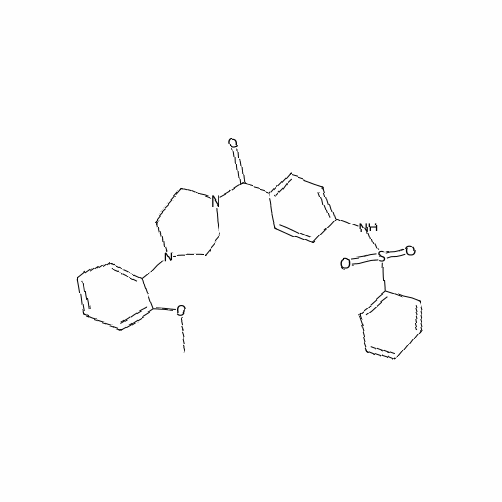 COc1ccccc1N1CCN(C(=O)c2ccc(NS(=O)(=O)c3ccccc3)cc2)CC1